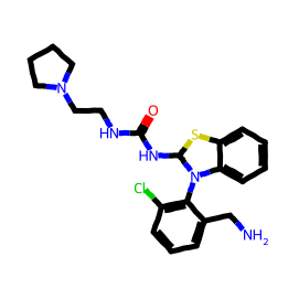 NCc1cccc(Cl)c1N1c2ccccc2SC1NC(=O)NCCN1CCCC1